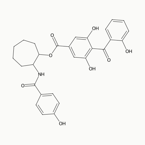 O=C(NC1CCCCCC1OC(=O)c1cc(O)c(C(=O)c2ccccc2O)c(O)c1)c1ccc(O)cc1